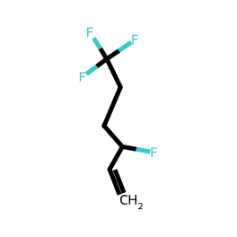 C=CC(F)CCC(F)(F)F